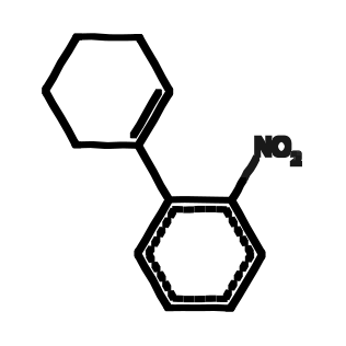 O=[N+]([O-])c1ccccc1C1=CCCCC1